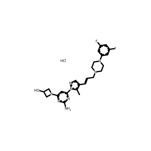 Cc1c(C=CCN2CCN(c3cc(F)cc(F)c3)CC2)cnn1-c1cc(N2CC(O)C2)nc(N)n1.Cl